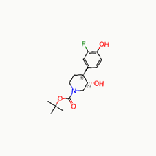 CC(C)(C)OC(=O)N1CC[C@@H](c2ccc(O)c(F)c2)[C@H](O)C1